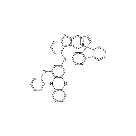 C1=CC2(CC1)c1ccccc1-c1ccc(N(c3cc4c5c(c3)Oc3ccccc3N5c3ccccc3O4)c3cccc4sc5ccccc5c34)cc12